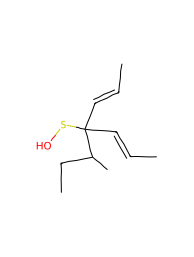 CC=CC(C=CC)(SO)C(C)CC